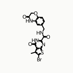 Cc1c(Br)sc2nc(C(=O)NCc3ccc4c(c3)NC(=O)CO4)[nH]c(=O)c12